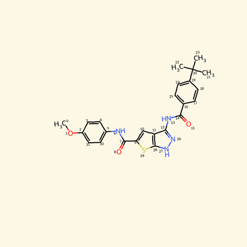 COc1ccc(NC(=O)c2cc3c(NC(=O)c4ccc(C(C)(C)C)cc4)n[nH]c3s2)cc1